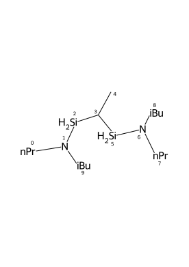 CCCN([SiH2]C(C)[SiH2]N(CCC)C(C)CC)C(C)CC